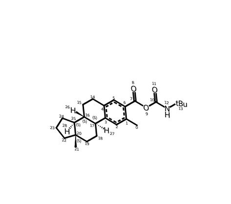 Cc1cc2c(cc1C(=O)OC(=O)NC(C)(C)C)CC[C@@H]1[C@@H]2CC[C@]2(C)CCC[C@@H]12